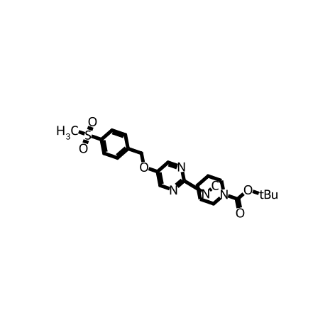 CC(C)(C)OC(=O)N1CC2CCC1CN2c1ncc(OCc2ccc(S(C)(=O)=O)cc2)cn1